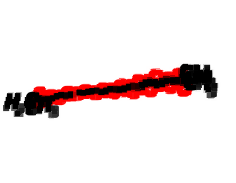 C=C(C)C(=O)OCCOCCOCCOCCOCCOCCOCCOCCOCCOCCOCCOCCOCCOCCOCCOC(=O)C(=C)C